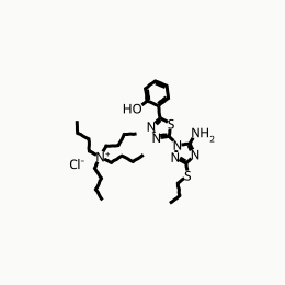 CCCC[N+](CCCC)(CCCC)CCCC.CCCSc1nc(N)n(-c2nnc(-c3ccccc3O)s2)n1.[Cl-]